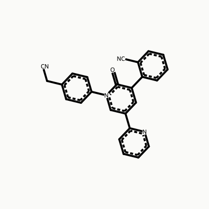 N#CCc1ccc(-n2cc(-c3ccccn3)cc(-c3ccccc3C#N)c2=O)cc1